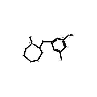 Cc1cc(CC2CCCCCN2C)cc(OCC(C)C)c1